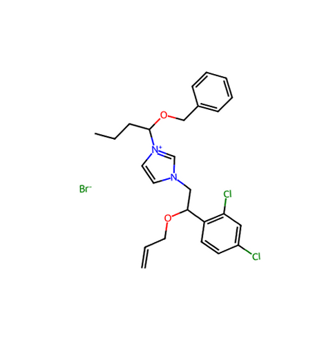 C=CCOC(Cn1cc[n+](C(CCC)OCc2ccccc2)c1)c1ccc(Cl)cc1Cl.[Br-]